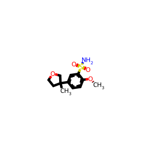 COc1ccc(C2(C)CCOC2)cc1S(N)(=O)=O